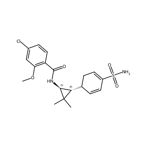 COc1cc(Cl)ccc1C(=O)N[C@H]1[C@H](C2C=CC(S(N)(=O)=O)=CC2)C1(C)C